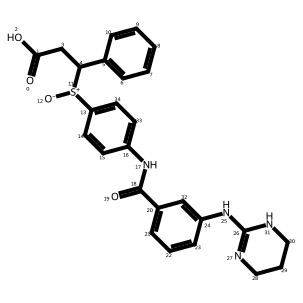 O=C(O)CC(c1ccccc1)[S+]([O-])c1ccc(NC(=O)c2cccc(NC3=NCCCN3)c2)cc1